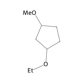 CCOC1CCC(OC)C1